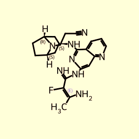 C/C(N)=C(\F)C(=N)Nc1cc2ncccc2c(N[C@@H]2C[C@H]3CC[C@@H](C2)N3CCC#N)n1